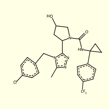 Cc1nnc(C2CC(O)CN2C(=O)NC2(c3ccc(C(F)(F)F)cc3)CC2)n1Cc1ccc(Cl)cc1